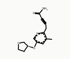 Cc1cc(O[C@H]2CCOC2)cnc1CC#CC(N)=O